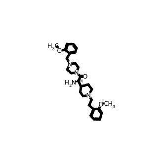 COc1ccccc1CCN1CCC([C@@H](N)C(=O)N2CCN(Cc3ccccc3OC)CC2)CC1